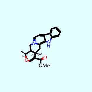 COC(=O)C1=CO[C@@H](C)C2C[n+]3ccc4c([nH]c5ccccc54)c3C[C@H]12